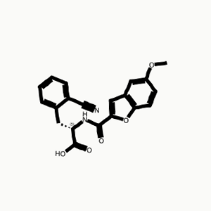 COc1ccc2oc(C(=O)N[C@@H](Cc3ccccc3C#N)C(=O)O)cc2c1